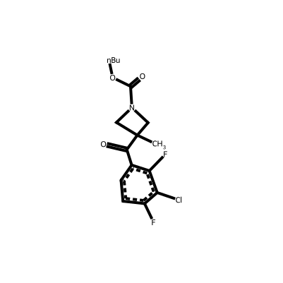 CCCCOC(=O)N1CC(C)(C(=O)c2ccc(F)c(Cl)c2F)C1